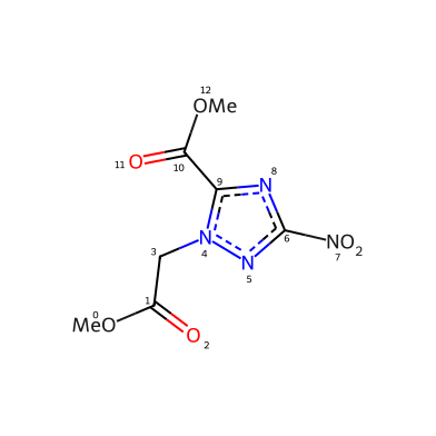 COC(=O)Cn1nc([N+](=O)[O-])nc1C(=O)OC